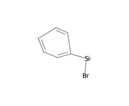 Br[Si]c1ccccc1